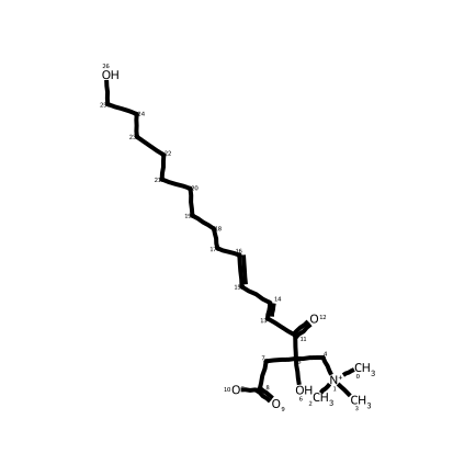 C[N+](C)(C)CC(O)(CC(=O)[O-])C(=O)C=CC=CCCCCCCCCCO